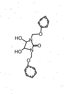 O=C1N(COc2ccccc2)C(O)C(O)N1COc1ccccc1